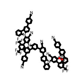 N#Cc1ccc(-c2ccc3c(c2)c2ccccc2n3-c2cc(-c3ccc(C(F)(F)F)cc3C(F)(F)F)c(-n3c4ccc(-c5ccc(C#N)cc5)cc4c4cc(-c5cc(-c6ccc7c8ccccc8n(-c8cc(-c9ccc(C(F)(F)F)cc9C(F)(F)F)c(-n9c%10ccccc%10c%10ccc(-c%11ccc(C#N)cc%11)cc%109)cc8C#N)c7c6)ccc5C#N)ccc43)cc2C#N)cc1